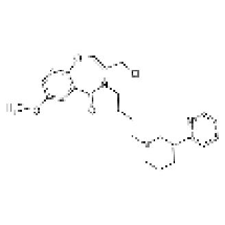 COc1ccc2c(c1)C(=O)N(CCCCN1CCC=C(c3ccccn3)C1)C(CCl)=CO2